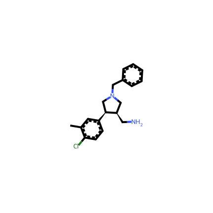 Cc1cc([C@H]2CN(Cc3ccccc3)C[C@H]2CN)ccc1Cl